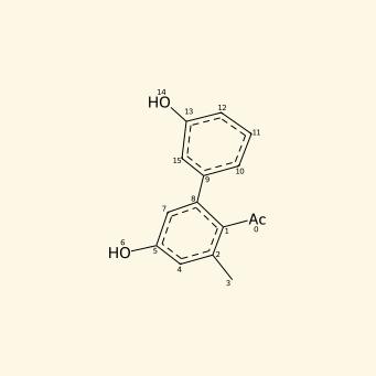 CC(=O)c1c(C)cc(O)cc1-c1cccc(O)c1